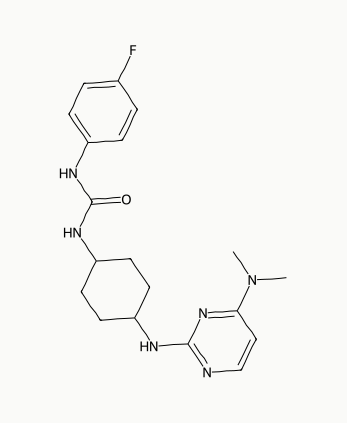 CN(C)c1ccnc(NC2CCC(NC(=O)Nc3ccc(F)cc3)CC2)n1